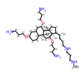 CCCCNCCCNCCC[C@@H](C)C1CC[C@H]2C3[C@H](OCCCN)CC4C[C@H](OCCCN)CC[C@]4(C)[C@H]3CC(OCCCN)[C@]12C